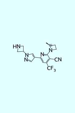 C[C@H]1CCN1c1nc(-c2cnn(C3CNC3)c2)cc(C(F)(F)F)c1C#N